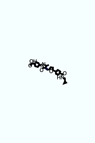 CC1=NN(c2ccc(C(=O)O)cc2)C(=O)/C1=C/c1ccc(-c2ccc(C(=O)NCC3CC3)cc2)o1